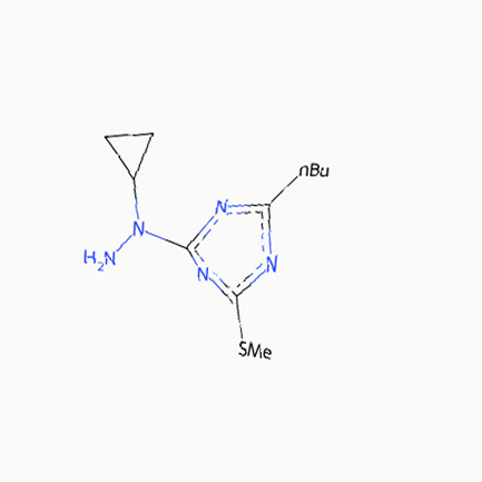 CCCCc1nc(SC)nc(N(N)C2CC2)n1